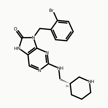 O=c1[nH]c2cnc(NC[C@H]3CCCNC3)nc2n1Cc1ccccc1Br